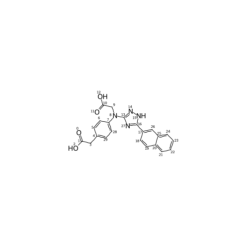 O=C(O)Cc1ccc(N(CC(=O)O)c2n[nH]c(-c3ccc4ccccc4c3)n2)cc1